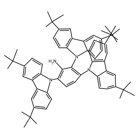 CC(C)(C)c1ccc2c(c1)c1cc(C(C)(C)C)ccc1n2-c1ccc(-n2c3ccc(C(C)(C)C)cc3c3cc(C(C)(C)C)ccc32)c(-n2c3ccc(C(C)(C)C)cc3c3cc(C(C)(C)C)ccc32)c1N